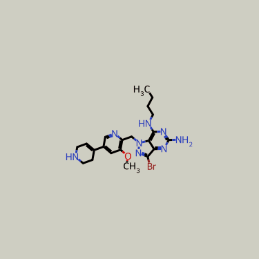 CCCCNc1nc(N)nc2c(Br)nn(Cc3ncc(C4=CCNCC4)cc3OC)c12